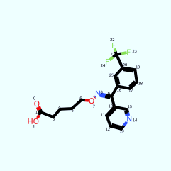 O=C(O)CCCCO/N=C(\c1cccnc1)c1cccc(C(F)(F)F)c1